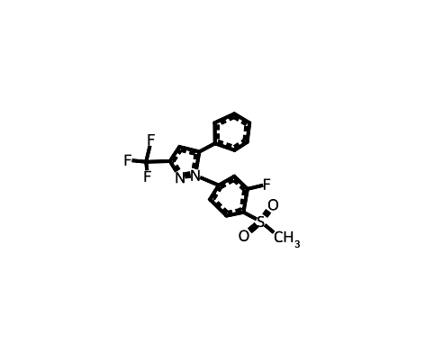 CS(=O)(=O)c1ccc(-n2nc(C(F)(F)F)cc2-c2ccccc2)cc1F